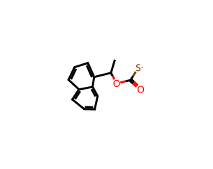 CC(OC(=O)[S])c1cccc2ccccc12